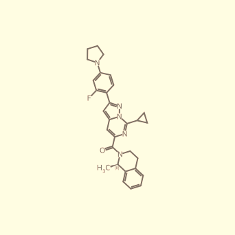 C[C@@H]1c2ccccc2CCN1C(=O)c1cc2cc(-c3ccc(N4CCCC4)cc3F)nn2c(C2CC2)n1